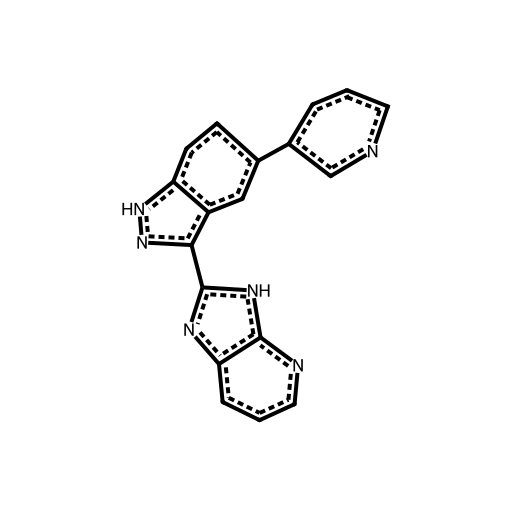 c1cncc(-c2ccc3[nH]nc(-c4nc5cccnc5[nH]4)c3c2)c1